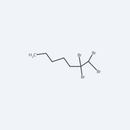 CCCCCC(Br)(Br)[C](Br)Br